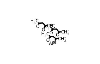 [Al+3].[CH2-]C(=O)CC(C)=O.[CH2-]C(=O)CC(C)=O.[CH2-]C(=O)CC(C)=O